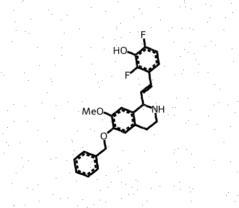 COc1cc2c(cc1OCc1ccccc1)CCNC2C=Cc1ccc(F)c(O)c1F